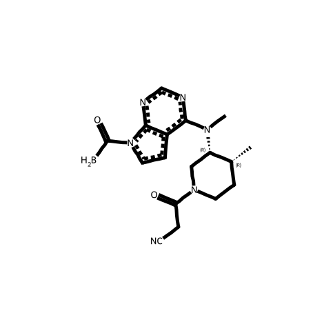 BC(=O)n1ccc2c(N(C)[C@H]3CN(C(=O)CC#N)CC[C@H]3C)ncnc21